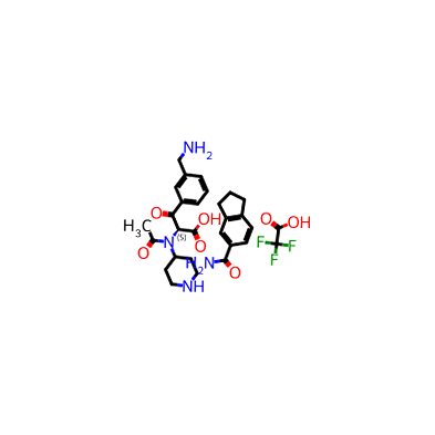 CC(=O)N(C1CCNCC1)[C@H](C(=O)O)C(=O)c1cccc(CN)c1.NC(=O)c1ccc2c(c1)CCC2.O=C(O)C(F)(F)F